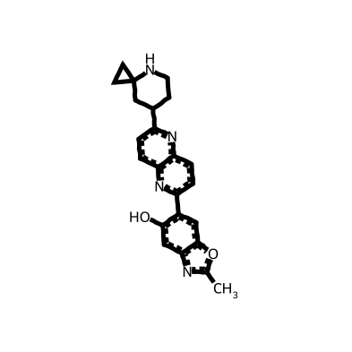 Cc1nc2cc(O)c(-c3ccc4nc(C5CCNC6(CC6)C5)ccc4n3)cc2o1